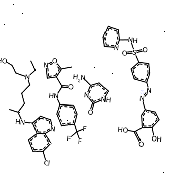 CCN(CCO)CCCC(C)Nc1ccnc2cc(Cl)ccc12.Cc1oncc1C(=O)Nc1ccc(C(F)(F)F)cc1.Nc1cc[nH]c(=O)n1.O=C(O)c1cc(/N=N/c2ccc(S(=O)(=O)Nc3ccccn3)cc2)ccc1O